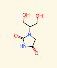 O=C1CN(C(CO)CO)C(=O)N1